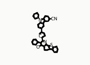 N#Cc1ccc2c(c1)c1cc(-c3ccc(-c4nc5c(ccc6c7ccccc7sc65)c5oc6ccccc6c45)cc3)ccc1n2-c1ccccc1